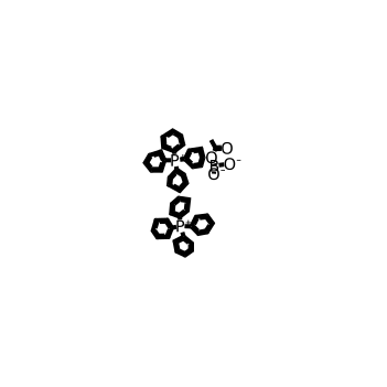 CC(=O)OB([O-])[O-].c1ccc([P+](c2ccccc2)(c2ccccc2)c2ccccc2)cc1.c1ccc([P+](c2ccccc2)(c2ccccc2)c2ccccc2)cc1